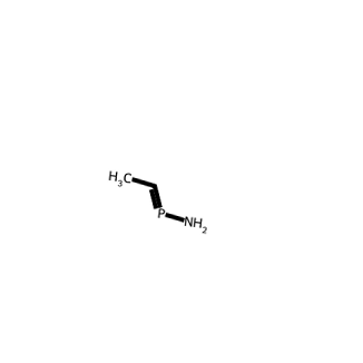 CC=PN